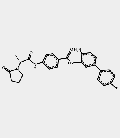 C[C@H](C(=O)Nc1ccc(C(=O)Nc2cc(-c3ccc(F)cc3)ccc2N)cc1)N1CCCC1=O